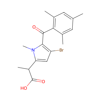 Cc1cc(C)c(C(=O)c2c(Br)cc(C(C)C(=O)O)n2C)c(C)c1